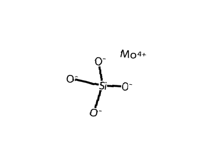 [Mo+4].[O-][Si]([O-])([O-])[O-]